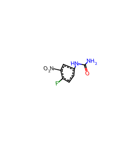 NC(=O)Nc1ccc(F)c([N+](=O)[O-])c1